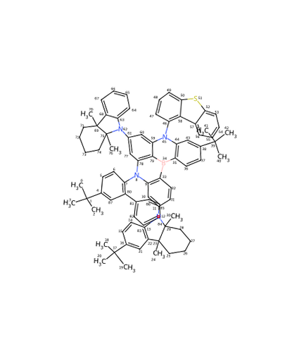 CC(C)(C)c1ccc(N2c3cc(N4c5ccc(C(C)(C)C)cc5C5(C)CCCCC45C)ccc3B3c4ccc(C(C)(C)C)cc4N(c4cccc5sc6ccccc6c45)c4cc(N5c6ccccc6C6(C)CCCCC56C)cc2c43)c(-c2ccccc2)c1